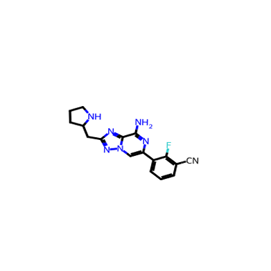 N#Cc1cccc(-c2cn3nc(CC4CCCN4)nc3c(N)n2)c1F